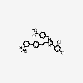 COC(=O)c1ccc(Cn2cc(-c3ccc(Cl)cc3Cl)nc2/C=C/c2ccc(-c3cccc(S(C)(=O)=O)c3)cc2)cc1